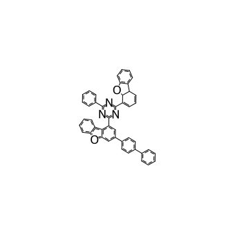 C1=CC2c3ccccc3OC2C(c2nc(-c3ccccc3)nc(-c3cc(-c4ccc(-c5ccccc5)cc4)cc4oc5ccccc5c34)n2)=C1